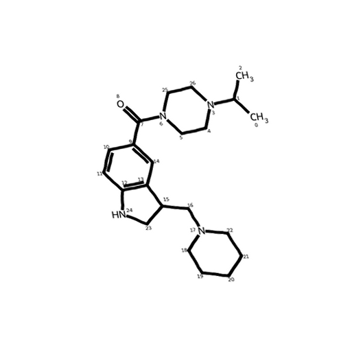 CC(C)N1CCN(C(=O)c2ccc3c(c2)C(CN2CCCCC2)CN3)CC1